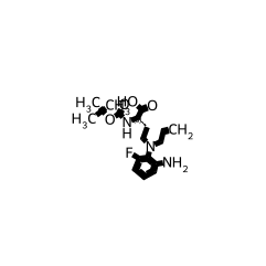 C=CCN(CC[C@H](NC(=O)OC(C)(C)C)C(=O)O)c1c(N)cccc1F